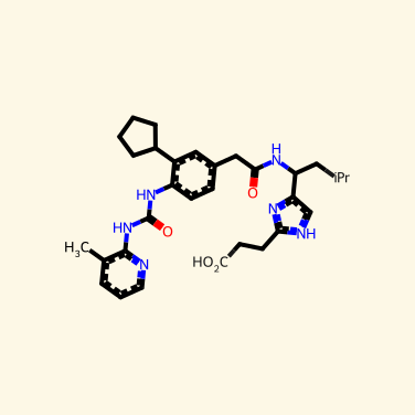 Cc1cccnc1NC(=O)Nc1ccc(CC(=O)NC(CC(C)C)c2c[nH]c(CCC(=O)O)n2)cc1C1CCCC1